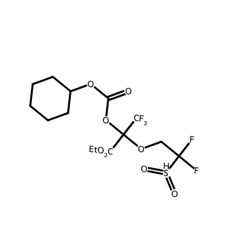 CCOC(=O)C(OCC(F)(F)[SH](=O)=O)(OC(=O)OC1CCCCC1)C(F)(F)F